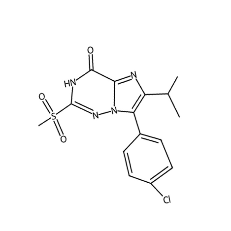 CC(C)c1nc2c(=O)[nH]c(S(C)(=O)=O)nn2c1-c1ccc(Cl)cc1